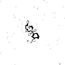 O=C1CC[C@@H]2CN(S(=O)(=O)C3=CC(C(F)(F)F)CC=C3)CCN12